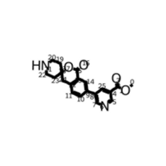 COC(=O)c1cncc(-c2ccc3c(c2)C(=O)OC2(CCNCC2)C3)c1